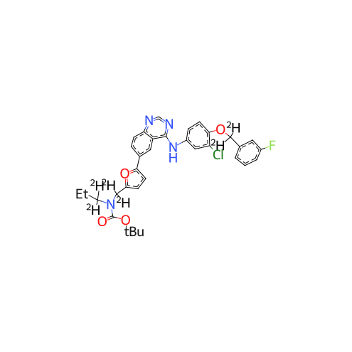 [2H]C([2H])(Oc1ccc(Nc2ncnc3ccc(-c4ccc(C([2H])([2H])N(C(=O)OC(C)(C)C)C([2H])([2H])CC)o4)cc23)cc1Cl)c1cccc(F)c1